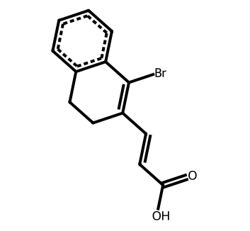 O=C(O)C=CC1=C(Br)c2ccccc2CC1